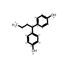 CCC[C](c1ccc(O)cc1)c1ccc(O)cc1